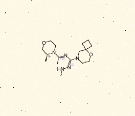 CN/N=C(\N=C(/C)N1CCOC[C@@H]1C)N1CCOC2(CCC2)C1